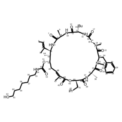 C/C=C(\C)[C@H]1NC(=O)[C@@H](C)NC(=O)[C@H](C(C)CC)NC(=O)CN(C)C(=O)[C@@H](Cc2ccccc2)N(C)C(=O)[C@H](C)NC(=O)[C@@H](CC(C)C)OC(=O)/C(C)=C/C[C@H](OC(=O)NCCCCCCCO)[C@@H]1C